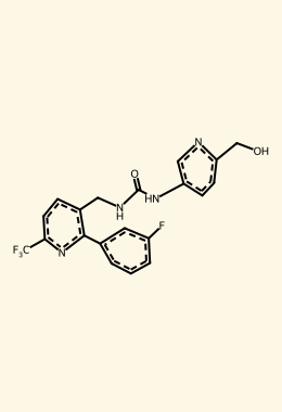 O=C(NCc1ccc(C(F)(F)F)nc1-c1cccc(F)c1)Nc1ccc(CO)nc1